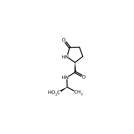 C[C@H](NC(=O)[C@@H]1CCC(=O)N1)C(=O)O